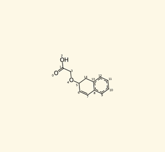 O=C(O)COC1C=Cc2ccccc2C1